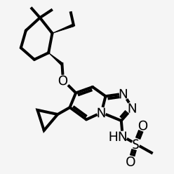 CC[C@H]1[C@@H](COc2cc3nnc(NS(C)(=O)=O)n3cc2C2CC2)CCCC1(C)C